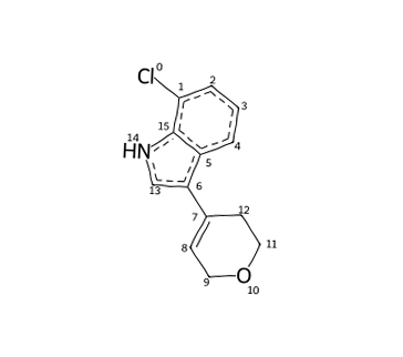 Clc1cccc2c(C3=CCOCC3)c[nH]c12